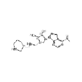 CNc1ncnc2c1ccn2[C@@H]1C[C@H](CNC[C@H]2CCCNC2)[C@@H](O)[C@H]1O